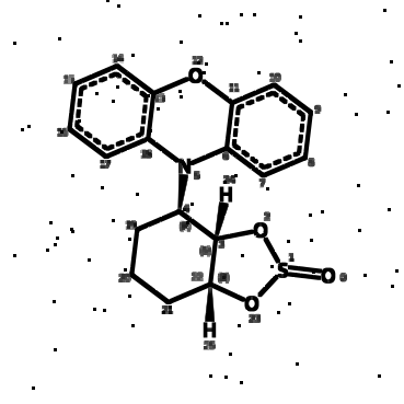 O=S1O[C@H]2[C@H](N3c4ccccc4Oc4ccccc43)CCC[C@H]2O1